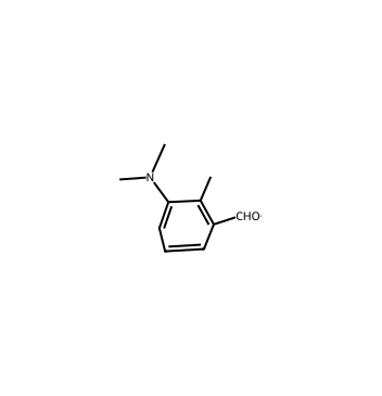 Cc1c([C]=O)cccc1N(C)C